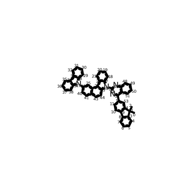 CC1(C)c2ccccc2-c2ccc(-c3nc(-n4c5ccccc5c5c6cc(-n7c8ccccc8c8ccccc87)ccc6ccc54)nc4ccccc34)cc21